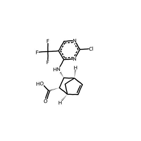 O=C(O)[C@@H]1[C@H](Nc2nc(Cl)ncc2C(F)(F)F)[C@H]2C=C[C@@H]1C2